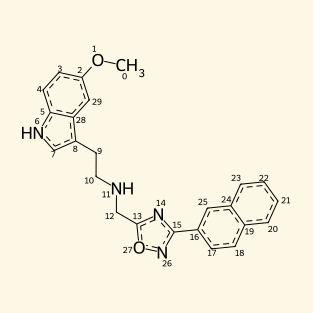 COc1ccc2[nH]cc(CCNCc3nc(-c4ccc5ccccc5c4)no3)c2c1